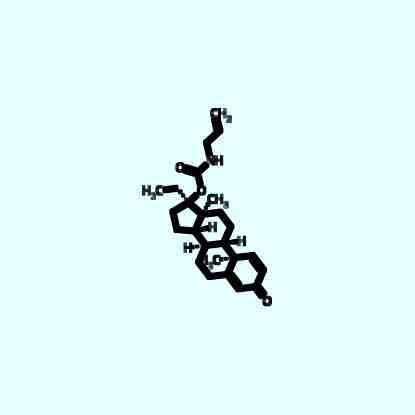 C=CCNC(=O)O[C@]1(CC)CC[C@H]2[C@@H]3CCC4=CC(=O)C=C[C@]4(C)[C@H]3CC[C@@]21C